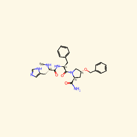 [2H]N[C@@H](Cc1cnc[nH]1)C(=O)N[C@@H](Cc1ccccc1)C(=O)N1C[C@H](OCc2ccccc2)C[C@H]1C(N)=O